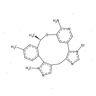 CCn1cnc2c1-c1cnc(N)c(c1)O[C@H](C)c1cc(C)ccc1-c1c(cnn1C)C2